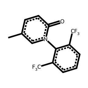 Cc1ccc(=O)n(-c2c(C(F)(F)F)cccc2C(F)(F)F)c1